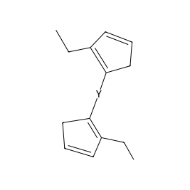 CCC1=[C]([Y][C]2=C(CC)C=CC2)CC=C1